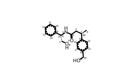 C[C@H](CC(=O)N[C@H](CO)c1ccccc1)c1ccc(CO)cc1